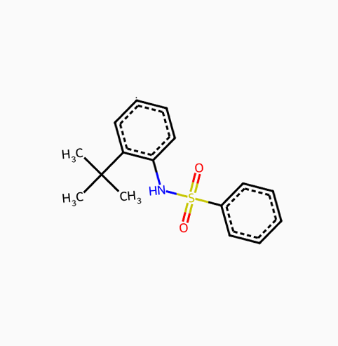 CC(C)(C)c1c[c]ccc1NS(=O)(=O)c1ccccc1